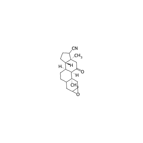 C[C@]12CC3OC3CC1CC[C@@H]1[C@H]2C(=O)C[C@]2(C)C(C#N)CC[C@@H]12